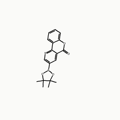 CC1(C)OB(c2cnc3c(c2)c(=O)oc2ccccc23)OC1(C)C